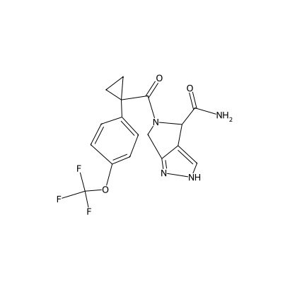 NC(=O)C1c2c[nH]nc2CN1C(=O)C1(c2ccc(OC(F)(F)F)cc2)CC1